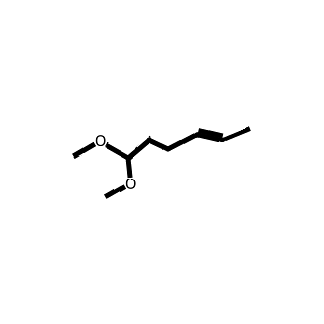 C/C=C/C[CH]C(OC)OC